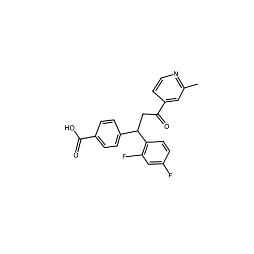 Cc1cc(C(=O)CC(c2ccc(C(=O)O)cc2)c2ccc(F)cc2F)ccn1